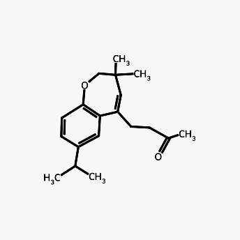 CC(=O)CCC1=CC(C)(C)COc2ccc(C(C)C)cc21